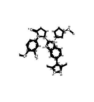 COc1ccc(N2C(=O)CC[C@H]2c2nc3cc(-c4c(C)noc4C)ccc3n2[C@@H]2CC[C@@H](OC)C2)cc1Cl